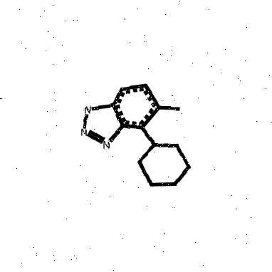 Cc1ccc2c(c1C1CCCCC1)N=N[N]2